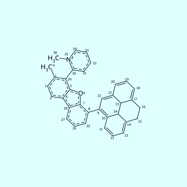 Cc1ccc2c(oc3c(C4=C5C=CC=C6CCC7=CC=CC(=C4)C7C65)cccc32)c1-c1cccc[n+]1C